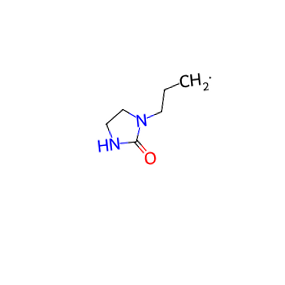 [CH2]CCN1CCNC1=O